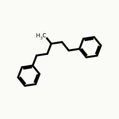 CC(CCc1ccccc1)CCc1ccccc1